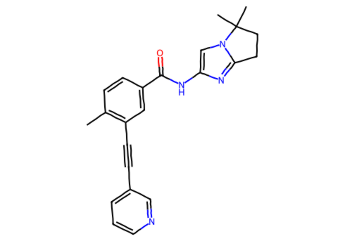 Cc1ccc(C(=O)Nc2cn3c(n2)CCC3(C)C)cc1C#Cc1cccnc1